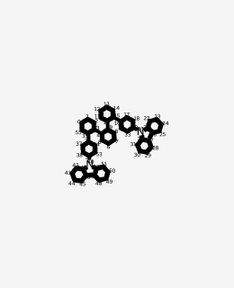 c1ccc(-c2ccccc2-c2ccccc2-c2ccc(-n3c4ccccc4c4ccccc43)cc2)c(-c2ccc(-n3c4ccccc4c4ccccc43)cc2)c1